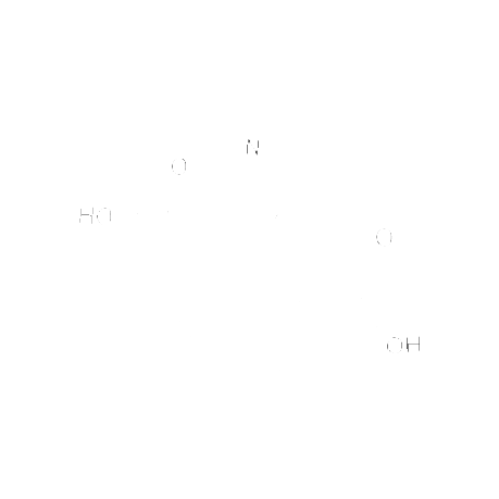 Cc1ccc(C(=O)O)c(CN(C)C)c1C(=O)O